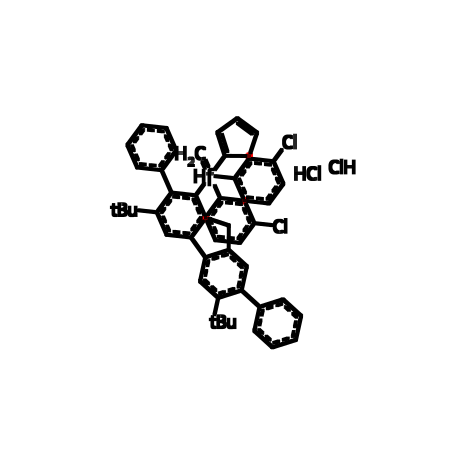 Cl.Cl.[CH2]=[Hf]([C]1=CC=CC1)([c]1cccc(Cl)c1)([c]1cccc(Cl)c1)[c]1c2c(cc(C(C)(C)C)c1-c1ccccc1)-c1cc(C(C)(C)C)c(-c3ccccc3)cc1C2